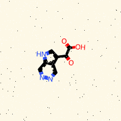 O=C(O)C(=O)c1c[nH]c2cnncc12